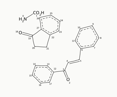 NC(=O)O.O=C(C=Cc1ccccc1)c1ccccc1.O=C1CCc2ccccc21